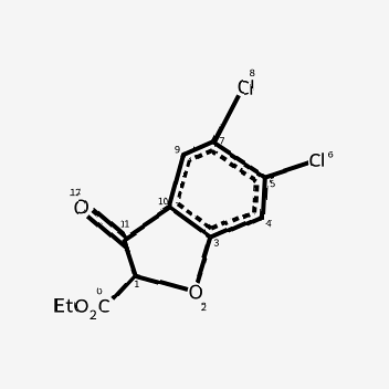 CCOC(=O)C1Oc2cc(Cl)c(Cl)cc2C1=O